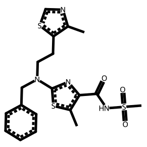 Cc1ncsc1CCN(Cc1ccccc1)c1nc(C(=O)NS(C)(=O)=O)c(C)s1